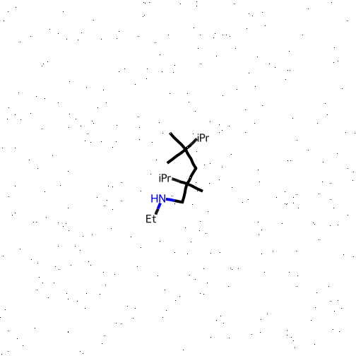 CCNCC(C)(CC(C)(C)C(C)C)C(C)C